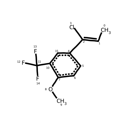 CC=C(Cl)c1ccc(OC)c(C(F)(F)F)c1